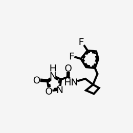 O=C(NCC1(Cc2ccc(F)c(F)c2)CCC1)c1noc(=O)[nH]1